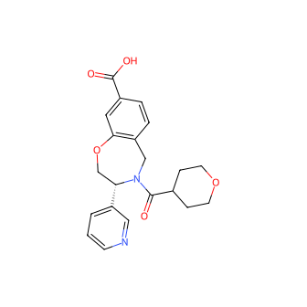 O=C(O)c1ccc2c(c1)OC[C@@H](c1cccnc1)N(C(=O)C1CCOCC1)C2